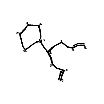 C=CCC(CC=C)N1CCCC1